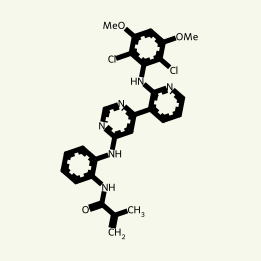 C=C(C)C(=O)Nc1ccccc1Nc1cc(-c2cccnc2Nc2c(Cl)c(OC)cc(OC)c2Cl)ncn1